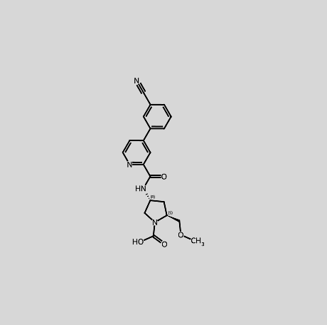 COC[C@@H]1C[C@@H](NC(=O)c2cc(-c3cccc(C#N)c3)ccn2)CN1C(=O)O